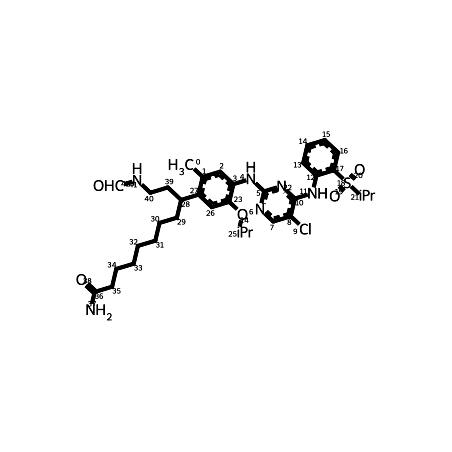 Cc1cc(Nc2ncc(Cl)c(Nc3ccccc3S(=O)(=O)C(C)C)n2)c(OC(C)C)cc1C(CCCCCCCC(N)=O)CCNC=O